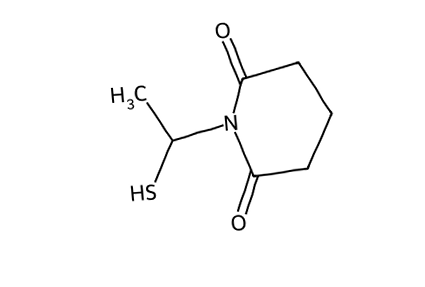 CC(S)N1C(=O)CCCC1=O